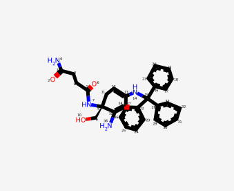 NC(=O)CCC(=O)N[C@]1(CO)CC=C(NC(c2ccccc2)(c2ccccc2)c2ccccc2)C=C1N